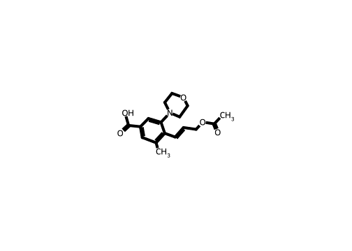 CC(=O)OCC=Cc1c(C)cc(C(=O)O)cc1N1CCOCC1